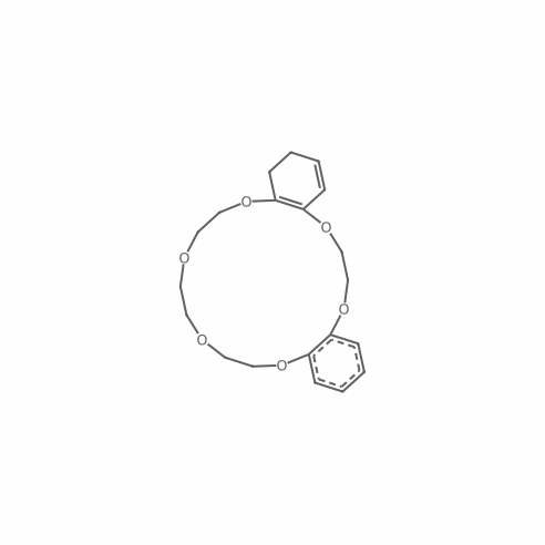 C1=CC2=C(CC1)OCCOCCOCCOc1ccccc1OCCO2